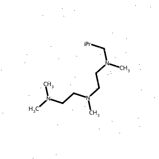 CC(C)CN(C)CCN(C)CCN(C)C